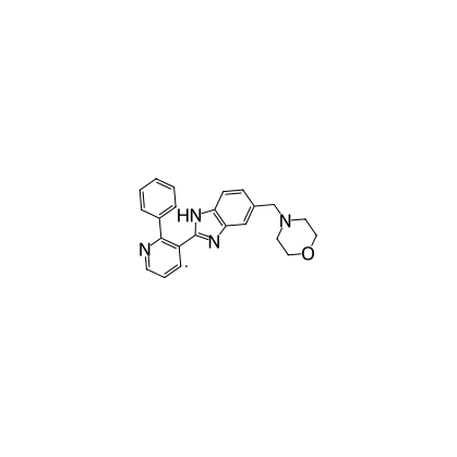 [c]1ccnc(-c2ccccc2)c1-c1nc2cc(CN3CCOCC3)ccc2[nH]1